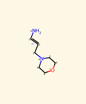 N/C=C/CN1CCOCC1